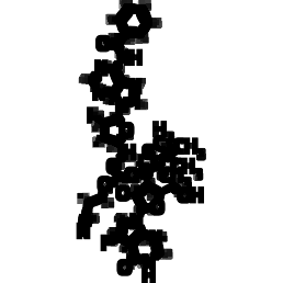 CC(C)(C)[Si](C)(C)O[C@H]1[C@@H](OP(=O)(OCCC#N)OC[C@H]2[CH][C@@H](F)[C@H](n3cnc4c(NC(=O)c5ccccc5)ncnc43)O2)[C@H](n2cc(F)c3c(=O)[nH]cnc32)O[C@@H]1CO